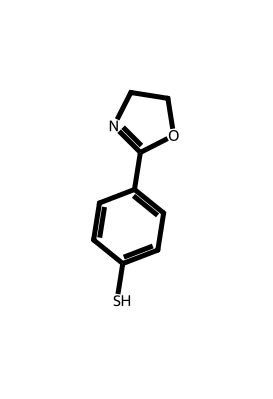 Sc1ccc(C2=NCCO2)cc1